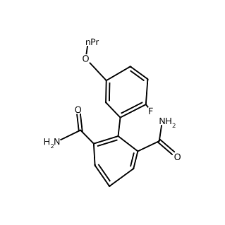 CCCOc1ccc(F)c(-c2c(C(N)=O)cccc2C(N)=O)c1